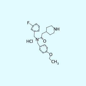 CCOc1ccc(CN(Cc2cccc(F)c2)C(=O)CC2CCNCC2)cc1.Cl